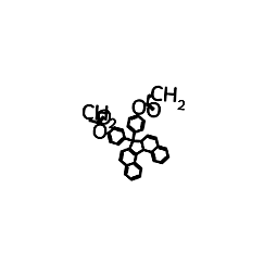 C=CC(=O)Oc1ccc(C2(c3ccc(OC(=O)C=C)cc3)c3ccc4ccccc4c3C3c4ccccc4C=CC32)cc1